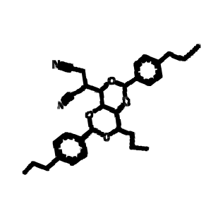 CCCc1ccc(C2OC(C(C#N)CC#N)C3OC(c4ccc(CCC)cc4)OC(CCC)C3O2)cc1